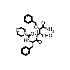 NC(=O)[C@@H](OCc1ccccc1)[C@@H](C=O)NC(=O)[C@H](Cc1ccccc1)NC(=O)N1CCOCC1